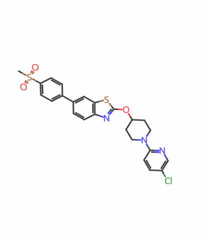 CS(=O)(=O)c1ccc(-c2ccc3nc(OC4CCN(c5ccc(Cl)cn5)CC4)sc3c2)cc1